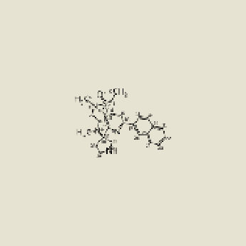 CCS(=O)(=O)N(C)CCN(C)[C@]1(c2nccc(-c3ccc4ccccc4c3)n2)CCNC1